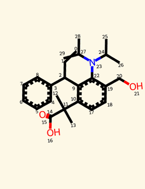 CCC(c1ccccc1)c1c(C(C)(C)C(=O)O)ccc(CO)c1N(C(C)C)C(C)C